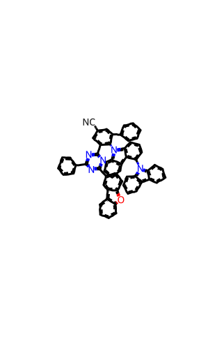 N#Cc1cc(-c2ccccc2)c(-n2c3ccccc3c3c(-n4c5ccccc5c5ccccc54)cccc32)c(-c2nc(-c3ccccc3)nc(-c3ccc4oc5ccccc5c4c3)n2)c1